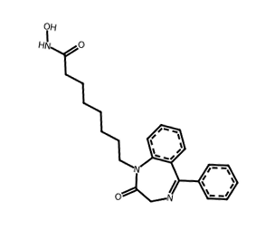 O=C(CCCCCCCN1C(=O)CN=C(c2ccccc2)c2ccccc21)NO